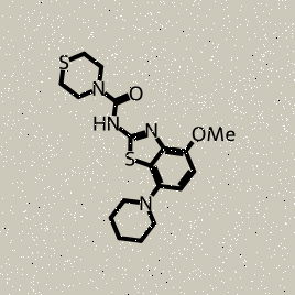 COc1ccc(N2CCCCC2)c2sc(NC(=O)N3CCSCC3)nc12